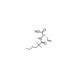 C=CC[C@@H](C(=O)O)N(C)C(=O)C(C)(C)CCCC